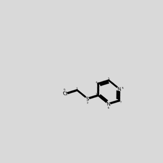 ClCSc1ccncn1